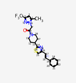 Cc1cc(C(F)(F)F)nn1CC(=O)N1CCC(c2nc(/C=C/c3ccccc3)cs2)CC1